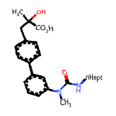 CCCCCCCNC(=O)N(C)c1cccc(-c2ccc(CC(C)(O)C(=O)O)cc2)c1